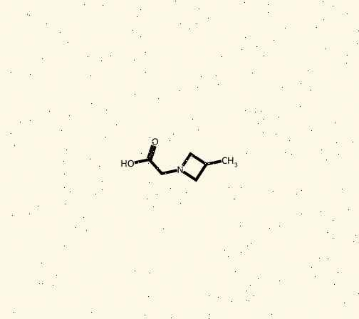 CC1CN(CC(=O)O)C1